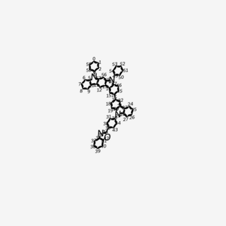 c1ccc(-n2c3ccccc3c3cc4c5cc(-c6ccc7c(c6)c6ccccc6n7-c6ccc(-c7nc8ccccc8o7)cc6)ccc5n(-c5ccccc5)c4cc32)cc1